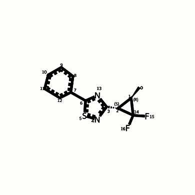 C[C@@H]1[C@@H](c2nsc(-c3ccccc3)n2)C1(F)F